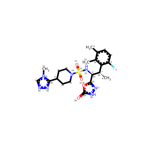 Cc1ccc(F)c([C@H](C)[C@H](NS(=O)(=O)N2CCC(c3nncn3C)CC2)c2n[nH]c(=O)o2)c1C